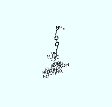 NCCCCc1ccc(-c2ccc(CCCNC(=O)[C@@H](N)CCCCN(C[C@H](O)[C@@H](O)[C@H](O)[C@H](O)CO)C[C@H](O)[C@@H](O)[C@H](O)[C@H](O)CO)cc2)cc1